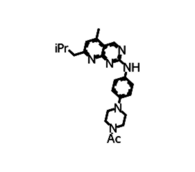 CC(=O)N1CCN(c2ccc(Nc3ncc4c(C)cc(CC(C)C)nc4n3)cc2)CC1